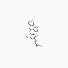 CCN(C)/C=N/c1cc(Br)c(OC(C)c2ccccc2-c2ccccc2)nc1C